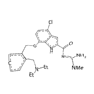 CCN(CC)Cc1ccccc1COc1ccc(Cl)c2cc(C(=O)N=C(N)NC)[nH]c12